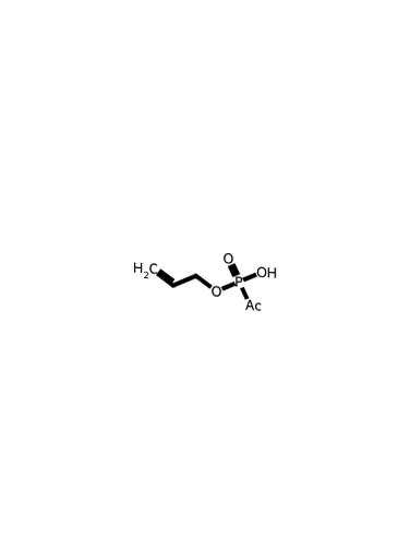 C=CCOP(=O)(O)C(C)=O